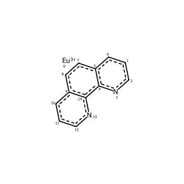 [Eu+3].c1cnc2c(c1)ccc1cccnc12